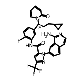 Nc1nccc2ccc(-n3nc(C(F)(F)F)cc3C(=O)Nc3cc([C@H](CCC4CC4)n4ccccc4=O)ccc3F)cc12